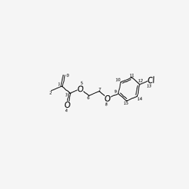 C=C(C)C(=O)OCCOc1ccc(Cl)cc1